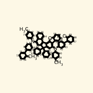 Cc1ccc(N(c2ccc(-c3ccccc3C)cc2)c2cc3c(c4ccccc24)-c2c(cc(N(c4ccc(C)cc4)c4ccc(-c5ccccc5C)cc4)c4c2oc2ccccc24)C3(c2ccccc2)c2ccccc2)cc1